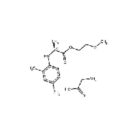 COCCOC(=O)[C@H](C)Nc1ccc(C)cc1C.NCC(=O)O